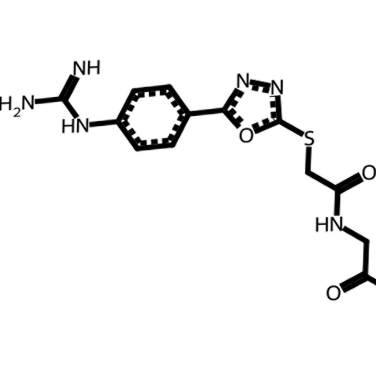 COC(=O)CNC(=O)CSc1nnc(-c2ccc(NC(=N)N)cc2)o1